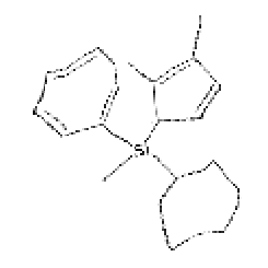 CC1=C(C)[C]([Si](C)(c2ccccc2)C2CCCCC2)C=C1